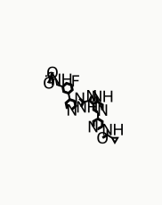 CS(=O)(=O)NCc1cc(F)cc(-c2ccnc3[nH]c(-c4n[nH]c5cnc(-c6cncc(NC(=O)C7CC7)c6)cc45)nc23)c1